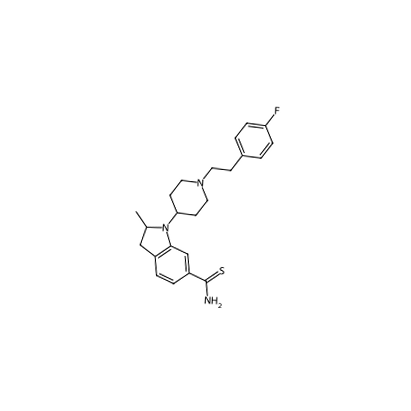 CC1Cc2ccc(C(N)=S)cc2N1C1CCN(CCc2ccc(F)cc2)CC1